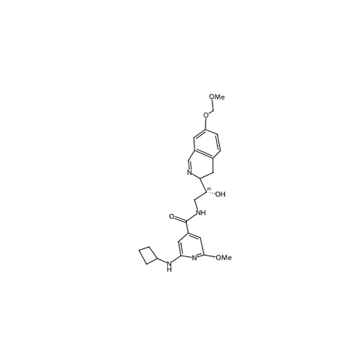 COCOc1ccc2c(c1)C=NC([C@H](O)CNC(=O)c1cc(NC3CCC3)nc(OC)c1)C2